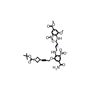 COC(=O)c1cc(OC)c(NC/C=C/CNc2c(OCC#CC3CN(C(=O)OC(C)(C)C)C3)cc(C(N)=O)cc2[N+](=O)[O-])c([N+](=O)[O-])c1